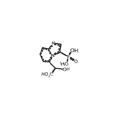 O=C(O)C(O)c1cccc2ncc(P(=O)(O)O)n12